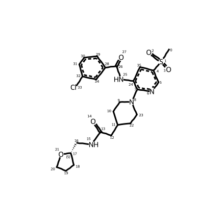 CS(=O)(=O)c1cnc(N2CCC(CC(=O)NC[C@@H]3CCCO3)CC2)c(NC(=O)c2cccc(Cl)c2)c1